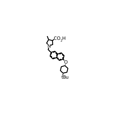 CC1CN(Cc2ccc3cc(O[C@H]4CC[C@H](C(C)(C)C)CC4)ccc3c2)CC1C(=O)O